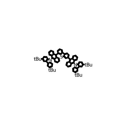 CC(C)(C)c1ccc2c(c1)c1cc(C(C)(C)C)ccc1n2-c1c2ccccc2c(-c2ccc3c(c2)sc2c(-c4c5ccccc5c(-n5c6ccc(C(C)(C)C)cc6c6cc(C(C)(C)C)ccc65)c5ccccc45)cccc23)c2ccccc12